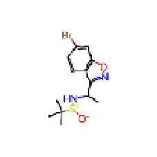 CC(N[S+]([O-])C(C)(C)C)c1noc2cc(Br)ccc12